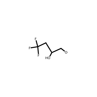 [O]CC(O)CC(F)(F)F